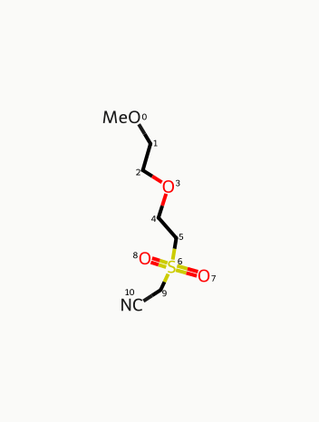 COCCOCCS(=O)(=O)CC#N